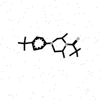 CC1CN(c2ccc(C(C)(C)C)cc2)CC(C)N1C(=O)C(C)(C)C